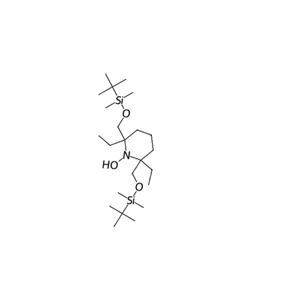 CCC1(CO[Si](C)(C)C(C)(C)C)CCCC(CC)(CO[Si](C)(C)C(C)(C)C)N1O